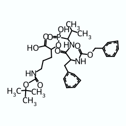 CC(C)C(NC(=O)C(Cc1ccccc1)NC(=O)OCc1ccccc1)P(=O)(O)OC(CCCNC(=O)OC(C)(C)C)C(=O)O